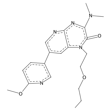 CCCOCCn1c(=O)c(N(C)C)nc2ncc(-c3ccc(OC)nc3)cc21